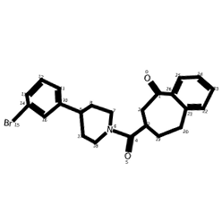 O=C1CC(C(=O)N2CCC(c3cccc(Br)c3)CC2)CCc2ccccc21